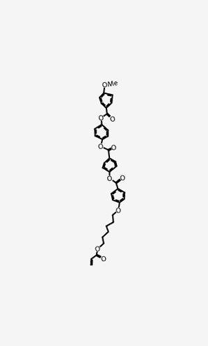 C=CC(=O)OCCCCCCOc1ccc(C(=O)Oc2ccc(C(=O)Oc3ccc(OC(=O)c4ccc(OC)cc4)cc3)cc2)cc1